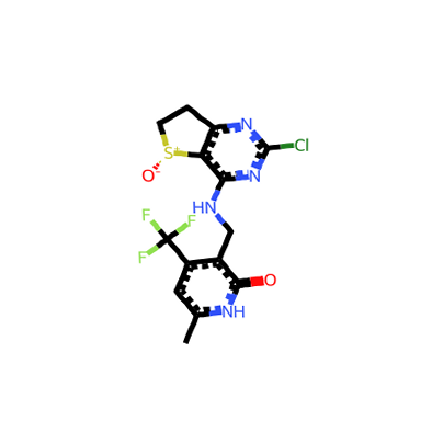 Cc1cc(C(F)(F)F)c(CNc2nc(Cl)nc3c2[S@+]([O-])CC3)c(=O)[nH]1